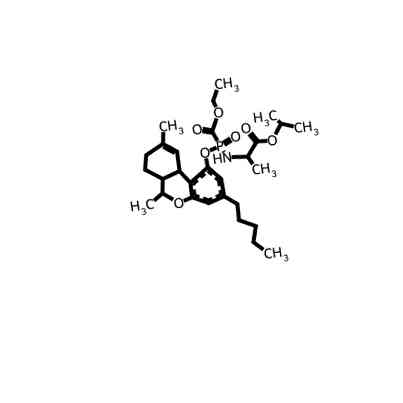 CCCCCc1cc2c(c(OP(=O)(NC(C)C(=O)OC(C)C)C(=O)OCC)c1)C1C=C(C)CCC1C(C)O2